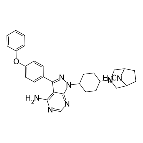 CN1C2CCC1CN(C1CCC(n3nc(-c4ccc(Oc5ccccc5)cc4)c4c(N)ncnc43)CC1)C2